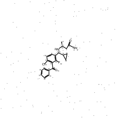 C[C@@H](CC(N)=O)N[C@@H](c1ccc(Cl)c(C(=O)c2ccccc2)c1F)C1CC1